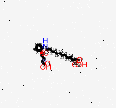 O=C(O)/C=C/COc1ccccc1NC(=O)CCCCCCCCCCCS(=O)(=O)O